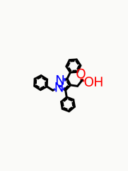 O=C(O)Cc1c(-c2ccccc2)nn(Cc2ccccc2)c1-c1ccccc1